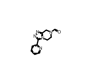 O=CN1CCn2c(nnc2-c2ccccn2)C1